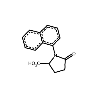 O=C(O)C1CCC(=O)N1c1cccc2ccccc12